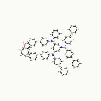 c1ccc(-c2ccc(N(c3ccc(-c4ccccc4)cc3)c3cc(N(c4ccccc4)c4ccc(-c5ccc6oc7ccccc7c6c5)cc4)cc(N(c4ccc(-c5ccccc5)cc4)c4ccc(-c5ccccc5)cc4)c3)cc2)cc1